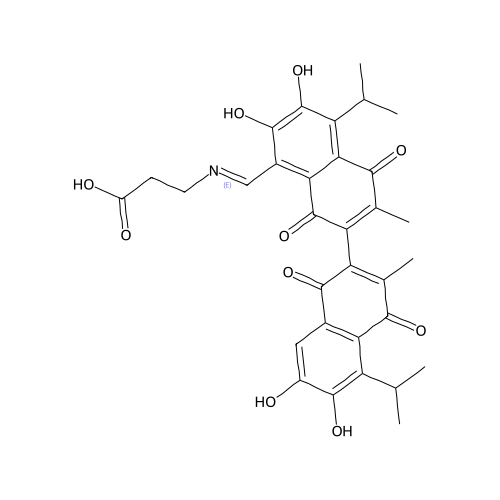 CC1=C(C2=C(C)C(=O)c3c(c(/C=N/CCC(=O)O)c(O)c(O)c3C(C)C)C2=O)C(=O)c2cc(O)c(O)c(C(C)C)c2C1=O